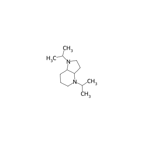 CC(C)N1CCCC2C1CCN2C(C)C